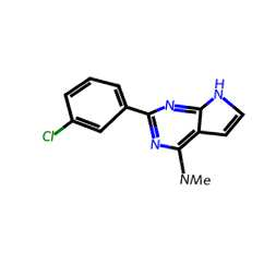 CNc1nc(-c2cccc(Cl)c2)nc2[nH]ccc12